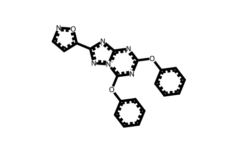 c1ccc(Oc2nc(Oc3ccccc3)n3nc(-c4ccno4)nc3n2)cc1